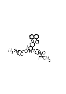 C=C(F)C(=O)N1CCN(c2nc(OCC3CN(C)CCO3)nc3c2CCN(c2cccc4cccc(Cl)c24)C3)CC1